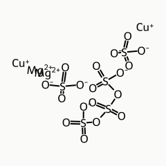 O=S(=O)([O-])OS(=O)(=O)OS(=O)(=O)[O-].O=S(=O)([O-])[O-].O=S(=O)([O-])[O-].[Cu+].[Cu+].[Mg+2].[Mg+2]